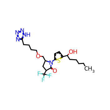 CCCCCC(O)c1ccc(N2C(=O)C(C(F)(F)F)CC2COCCCCc2nnn[nH]2)s1